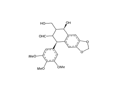 COc1cc([C@@H]2c3cc4c(cc3[C@H](O)C(CO)C2C=O)OCO4)cc(OC)c1OC